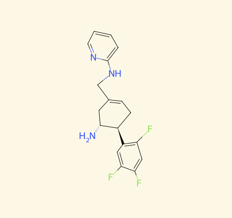 N[C@@H]1CC(CNc2ccccn2)=CC[C@H]1c1cc(F)c(F)cc1F